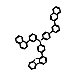 c1cc(-c2ccc(N(c3ccc(-c4cccc5c4sc4ccccc45)cc3)c3cccc(-c4cccc5ccccc45)c3)cc2)cc(-c2ccc3ccccc3c2)c1